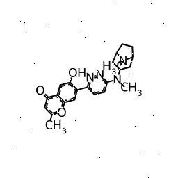 Cc1cc(=O)c2cc(O)c(-c3ccc(N(C)C4CC5CCC(C4)N5C)nn3)cc2o1